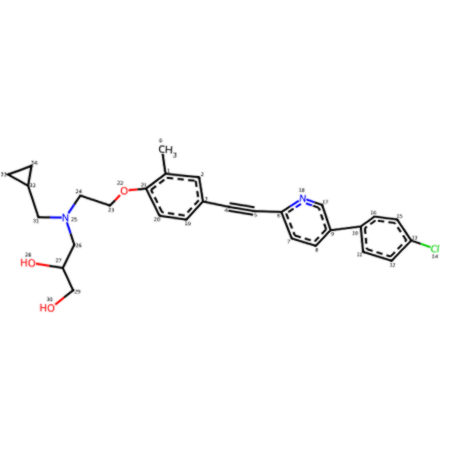 Cc1cc(C#Cc2ccc(-c3ccc(Cl)cc3)cn2)ccc1OCCN(CC(O)CO)CC1CC1